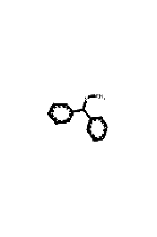 [CH2]OC(c1ccccc1)c1ccccc1